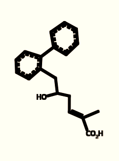 C/C(=C\CC(O)Cc1ccccc1-c1ccccc1)C(=O)O